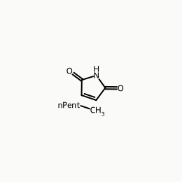 CCCCCC.O=C1C=CC(=O)N1